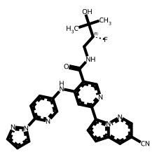 CC(C)(O)[C@H](F)CNC(=O)c1cnc(-c2ccc3cc(C#N)cnn23)cc1Nc1ccc(-n2cccn2)nc1